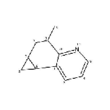 CC1CC2CC2c2cccnc21